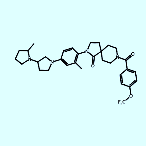 Cc1cc(N2CCC(N3CCCC3C)C2)ccc1N1CCC2(CCN(C(=O)c3ccc(OC(F)(F)F)cc3)CC2)C1=O